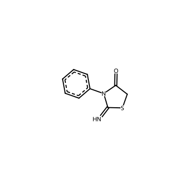 N=C1SCC(=O)N1c1ccccc1